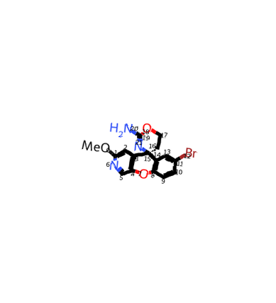 COc1cc2c(cn1)Oc1ccc(Br)cc1[C@@]21CCOC(N)=N1